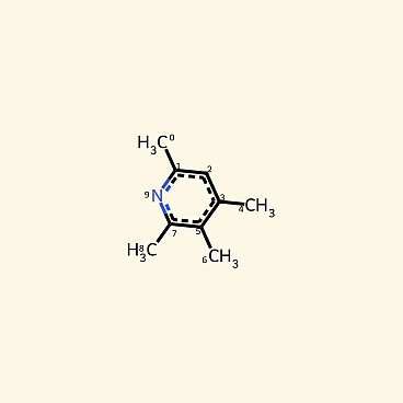 Cc1cc(C)c(C)c(C)n1